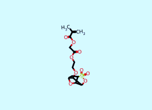 C=C(C)C(=O)OCC(=O)OCCOC1C2CC3C(O2)C1OS3(=O)=O